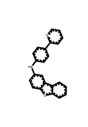 c1ccc(-c2ccc(Nc3ccc4oc5ccccc5c4c3)cc2)nc1